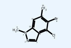 Cn1ncc2c(Cl)c(Br)c(C(F)(F)F)cc21